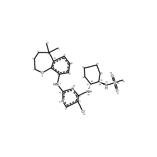 CC1(C)CCCOc2c(Nc3ncc(Cl)c(N[C@@H]4CCCC[C@H]4NS(C)(=O)=O)n3)cccc21